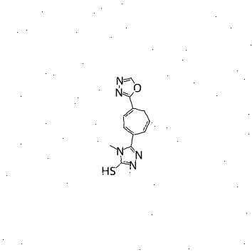 Cn1c(S)nnc1C1=CC=C(c2nnco2)CC=C1